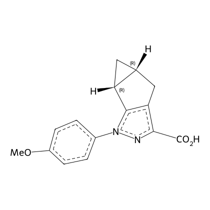 COc1ccc(-n2nc(C(=O)O)c3c2[C@@H]2C[C@@H]2C3)cc1